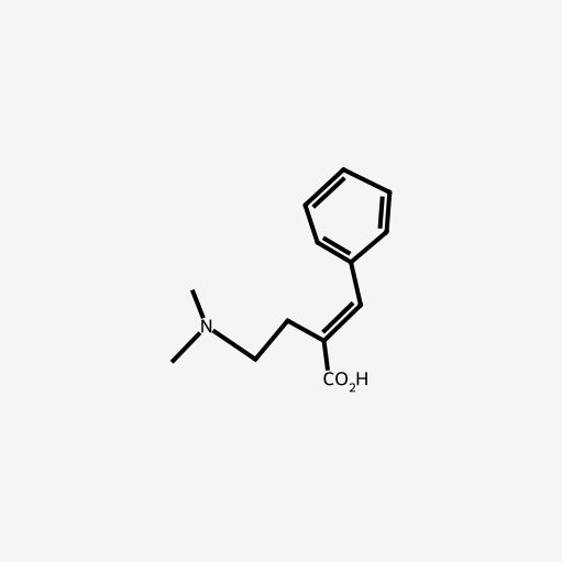 CN(C)CCC(=Cc1ccccc1)C(=O)O